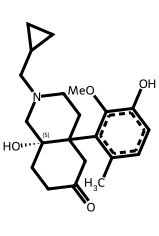 COc1c(O)ccc(C)c1C12CCN(CC3CC3)C[C@]1(O)CCC(=O)C2